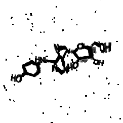 OC[C@H]1O[C@@H](n2cnc3c(NC4CCC(O)CC4)ncnc32)[C@H](O)[C@H]1O